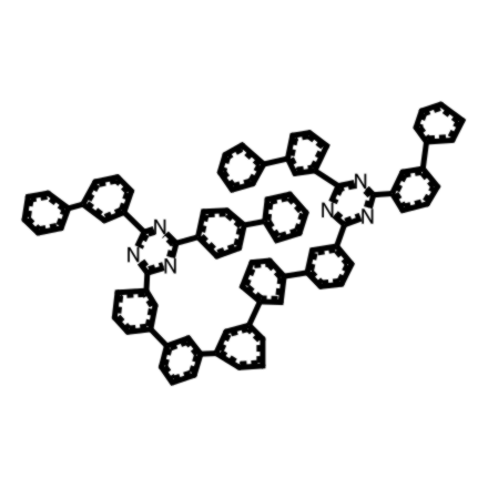 c1ccc(-c2ccc(-c3nc(-c4cccc(-c5ccccc5)c4)nc(-c4cccc(-c5cccc(-c6cccc(-c7cccc(-c8cccc(-c9nc(-c%10cccc(-c%11ccccc%11)c%10)nc(-c%10cccc(-c%11ccccc%11)c%10)n9)c8)c7)c6)c5)c4)n3)cc2)cc1